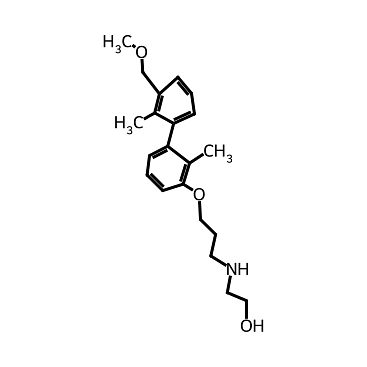 COCc1cccc(-c2cccc(OCCCNCCO)c2C)c1C